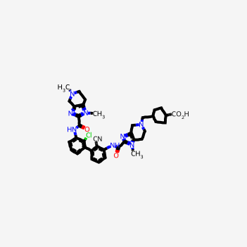 CN1CCc2c(nc(C(=O)Nc3cccc(-c4cccc(NC(=O)c5nc6c(n5C)CCN(CC5CCC(C(=O)O)CC5)C6)c4C#N)c3Cl)n2C)C1